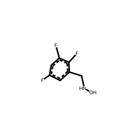 ONCc1cc(F)cc(F)c1F